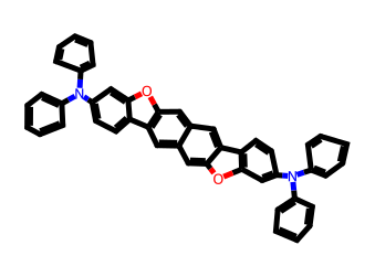 c1ccc(N(c2ccccc2)c2ccc3c(c2)oc2cc4cc5c(cc4cc23)oc2cc(N(c3ccccc3)c3ccccc3)ccc25)cc1